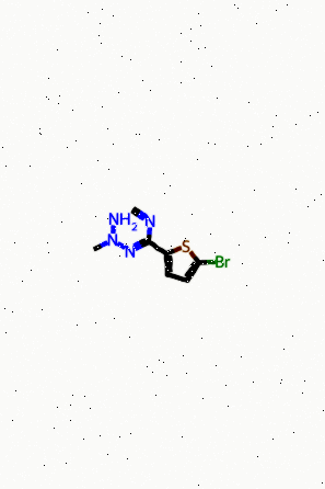 C=N/C(=N\N(C)N)c1ccc(Br)s1